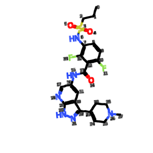 CCCS(=O)(=O)Nc1ccc(F)c(C(=O)Nc2cnc3[nH]nc(C4=CCN(C)CC4)c3c2)c1F